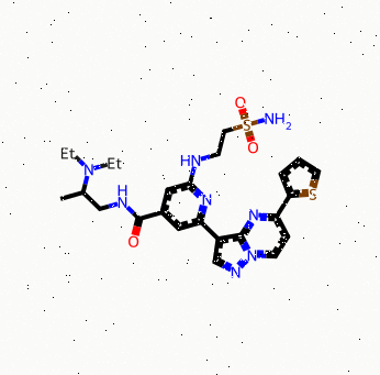 CCN(CC)C(C)CNC(=O)c1cc(NCCS(N)(=O)=O)nc(-c2cnn3ccc(-c4cccs4)nc23)c1